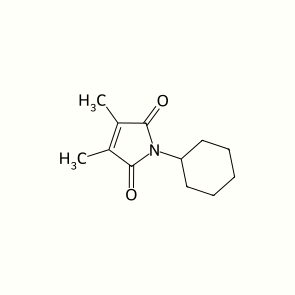 CC1=C(C)C(=O)N(C2CCCCC2)C1=O